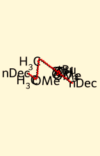 CCCCCCCCCCCCCCCCCCCCCCCCC(C(=O)OC)[C@@H](CCCCCCCCCCCCCCCCCC[C@H]1C[C@@H]1[C@@H](C)CCCCCCCCCCCCCCC[C@H](OC)[C@@H](C)CCCCCCCCCCCCCCCCCC)O[Si](C)(C)C(C)(C)C